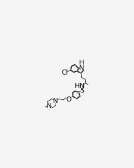 CC(CCc1c[nH]c2ccc(Cl)cc12)NSc1ccc(OCCCN2CCN(C)CC2)cc1